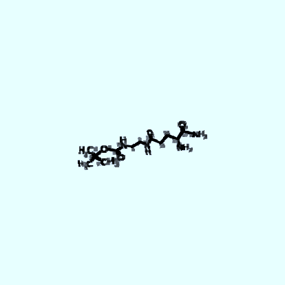 CC(C)(C)OC(=O)NCCNC(=O)CC[C@H](N)C(N)=O